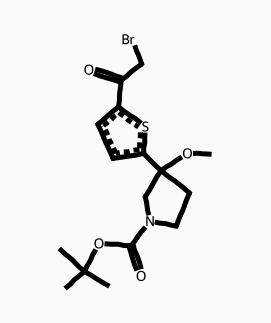 COC1(c2ccc(C(=O)CBr)s2)CCN(C(=O)OC(C)(C)C)C1